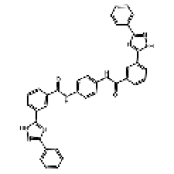 O=C(Nc1ccc(NC(=O)c2cccc(-c3nc(-c4ccccc4)n[nH]3)c2)cc1)c1cccc(-c2nc(-c3ccccc3)n[nH]2)c1